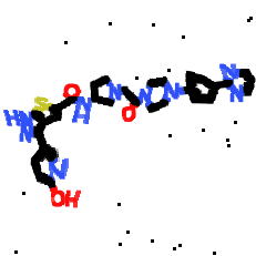 O=C(N[C@@H]1CCN(CC(=O)N2CCN(c3ccc(-c4ncccn4)cc3)CC2)C1)c1cc2c(-c3ccc(O)nc3)n[nH]c2s1